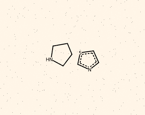 C1CCNC1.c1cscn1